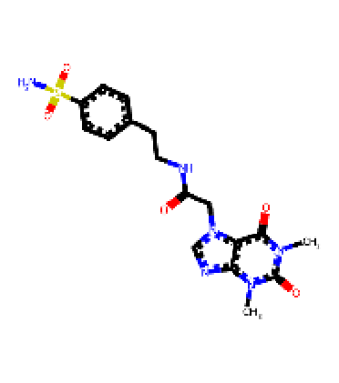 Cn1c(=O)c2c(ncn2CC(=O)NCCc2ccc(S(N)(=O)=O)cc2)n(C)c1=O